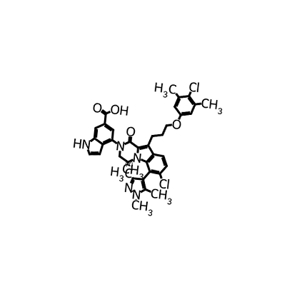 Cc1cc(OCCCc2c3n(c4c(-c5c(C)nn(C)c5C)c(Cl)ccc24)[C@H](C)CN(c2cc(C(=O)O)cc4[nH]ccc24)C3=O)cc(C)c1Cl